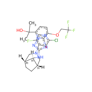 CC(C)(O)c1ccc(OCC(F)(F)F)c2nc(N[C@@H]3[C@@H]4CC[C@H]3CN(c3cc(Cl)ncc3F)C4)nn12